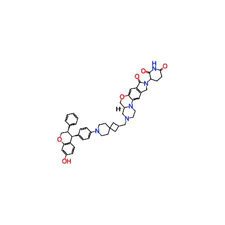 O=C1CCC(N2Cc3cc4c(cc3C2=O)OC[C@@H]2CN(CC3CC5(CCN(c6ccc([C@H]7c8ccc(O)cc8OC[C@H]7c7ccccc7)cc6)CC5)C3)CCN42)C(=O)N1